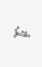 c1ccc(-c2cccc(-c3nc(-c4ccccc4)nc(-c4ccc(-c5ccc6nc(-c7ccccc7)c7cccc(-c8ccccc8)c7c6c5)cc4)n3)c2)cc1